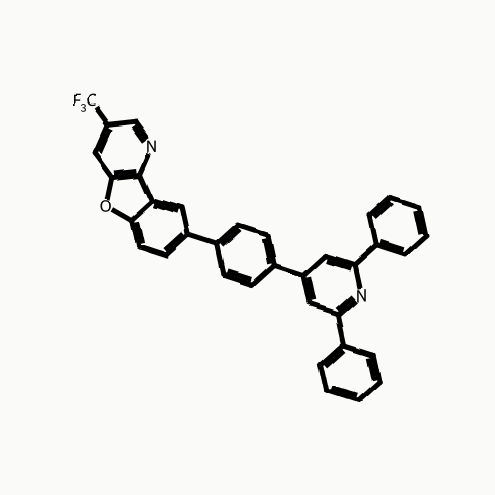 FC(F)(F)c1cnc2c(c1)oc1ccc(-c3ccc(-c4cc(-c5ccccc5)nc(-c5ccccc5)c4)cc3)cc12